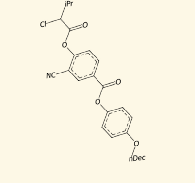 CCCCCCCCCCOc1ccc(OC(=O)c2ccc(OC(=O)C(Cl)C(C)C)c(C#N)c2)cc1